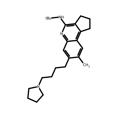 Cc1cc2c3c(c(NC(C)(C)C)nc2cc1CCCCN1CCCC1)CCC3